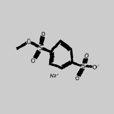 COS(=O)(=O)c1ccc(S(=O)(=O)[O-])cc1.[Na+]